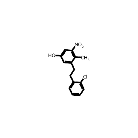 Cc1c(CCc2ccccc2Cl)cc(O)cc1[N+](=O)[O-]